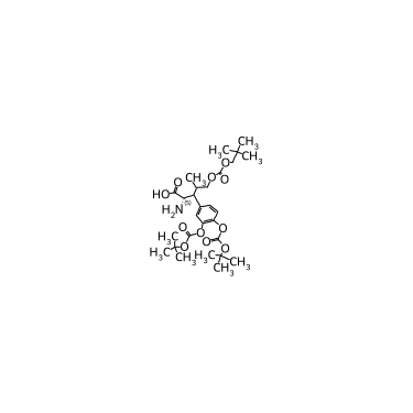 CC(COC(=O)OCC(C)(C)C)C(c1ccc(OC(=O)OC(C)(C)C)c(OC(=O)OC(C)(C)C)c1)[C@H](N)C(=O)O